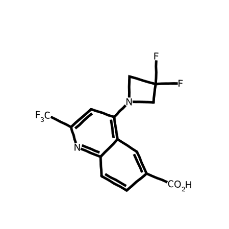 O=C(O)c1ccc2nc(C(F)(F)F)cc(N3CC(F)(F)C3)c2c1